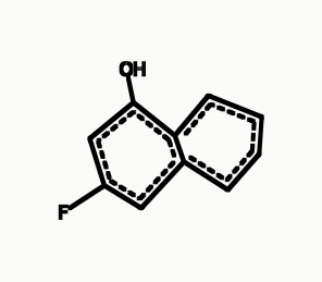 Oc1cc(F)cc2ccccc12